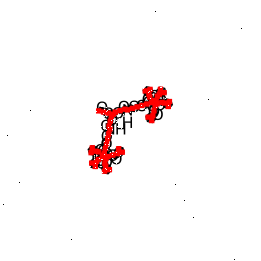 CC(=O)CCOCC(C)(COCCC(=O)NCCOCCOCCO[C@H]1OC(COC(=O)c2ccccc2)[C@@H](OC(=O)c2ccccc2)C(OC(=O)c2ccccc2)[C@H]1OC(=O)c1ccccc1)COCCC(=O)NCCOCCOCCO[C@H]1OC(COC(=O)c2ccccc2)[C@@H](OC(=O)c2ccccc2)C(OC(=O)c2ccccc2)[C@H]1OC(=O)c1ccccc1